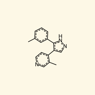 Cc1cccc(-c2[nH]ncc2-c2ccncc2C)c1